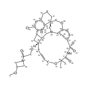 COC1CN(C(=O)CO[C@H]2C=CCOC(C)(C)C(=O)NS(=O)(=O)c3ccc4c(c3)N(C[C@@H]3CC[C@H]32)C[C@@]2(CCCc3cc(Cl)ccc32)CO4)C1